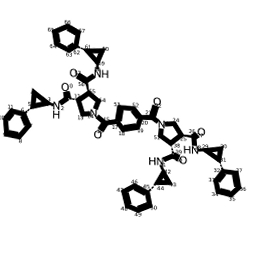 O=C(N[C@@H]1C[C@H]1c1ccccc1)[C@H]1CN(C(=O)c2ccc(C(=O)N3C[C@@H](C(=O)N[C@H]4C[C@@H]4c4ccccc4)[C@H](C(=O)N[C@H]4C[C@@H]4c4ccccc4)C3)cc2)C[C@@H]1C(=O)N[C@@H]1C[C@H]1c1ccccc1